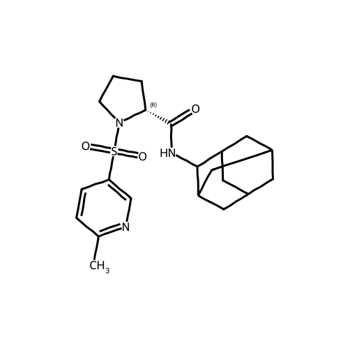 Cc1ccc(S(=O)(=O)N2CCC[C@@H]2C(=O)NC2C3CC4CC(C3)CC2C4)cn1